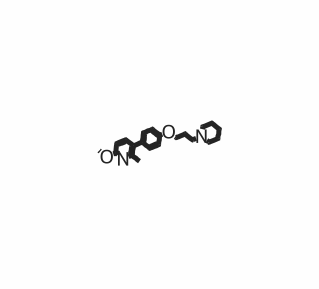 COc1ccc(-c2ccc(OCCCN3CCCCC3)cc2)c(C)n1